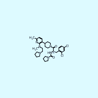 Cc1ccc(C2CCN(C(=O)[C@@H](Cc3ccc(Cl)cc3Cl)NC(=O)N3CCCC3)CC2)c(N(C)CCN2CCCC2)n1